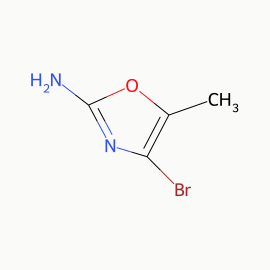 Cc1oc(N)nc1Br